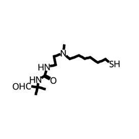 CN(CCCCCCS)CCNC(=O)NC(C)(C)C=O